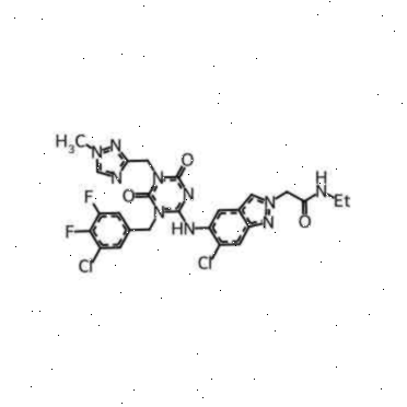 CCNC(=O)Cn1cc2cc(Nc3nc(=O)n(Cc4ncn(C)n4)c(=O)n3Cc3cc(F)c(F)c(Cl)c3)c(Cl)cc2n1